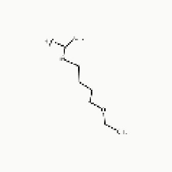 CCOCCCCNC(C)C